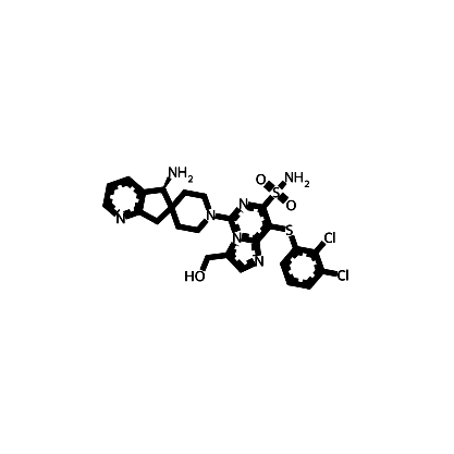 N[C@@H]1c2cccnc2CC12CCN(c1nc(S(N)(=O)=O)c(Sc3cccc(Cl)c3Cl)c3ncc(CO)n13)CC2